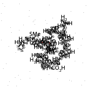 CSCC[C@H](NC(=O)[C@@H](N)Cc1c[nH]c2ccccc12)C(=O)N[C@H](C(=O)N[C@@H](CC(C)C)C(=O)N1CCC[C@H]1C(=O)N[C@@H](Cc1c[nH]c2ccccc12)C(=O)N[C@@H](CC(C)C)C(=O)N1CCC[C@H]1C(=O)NCC(=O)N[C@H](C(=O)N[C@@H](CC(C)C)C(=O)N[C@@H](CC(=O)O)C(=O)NCC(=O)NCC(=O)N[C@@H](CO)C(=O)NCC(=O)N[C@@H](CS)C(=O)N[C@@H](CCCNC(=N)N)C(=O)NCC(N)=O)[C@@H](C)O)C(C)C